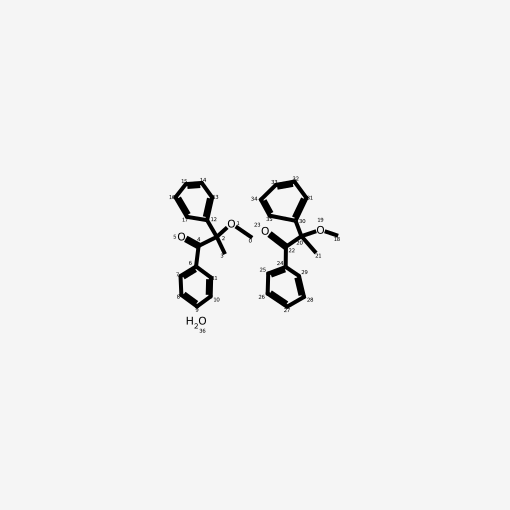 COC(C)(C(=O)c1ccccc1)c1ccccc1.COC(C)(C(=O)c1ccccc1)c1ccccc1.O